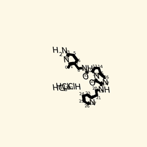 Cc1nc(N)ccc1CNC(=O)[C@@H]1CCc2cnc(NCCc3ccccn3)c(=O)n21.Cl.Cl.Cl